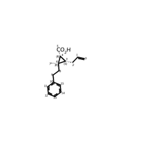 C=CC[C@H]1[C@@H](C(=O)O)[C@]1(C)CCc1ccccc1